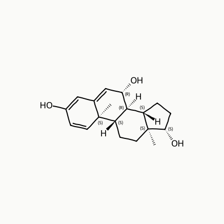 C[C@]12CC[C@H]3[C@@H]([C@@H](O)C=C4C=C(O)C=C[C@@]43C)[C@@H]1CC[C@@H]2O